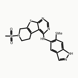 CSc1cc2[nH]ncc2cc1Nc1ncnc2sc3c(c12)CCN(S(C)(=O)=O)C3